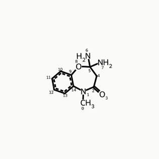 CN1C(=O)CC(N)(N)Oc2ccccc21